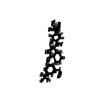 O=Cc1cc(C(F)(F)F)ccc1[C@H]1CCCC(C(=O)Nc2ccc(C(F)(F)F)cc2F)C1C(=O)O